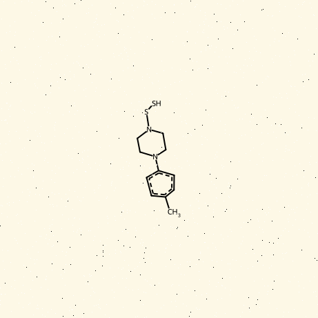 Cc1ccc(N2CCN(SS)CC2)cc1